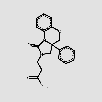 NC(=O)CCN1CC2(c3ccccc3)COc3ccccc3N2C1=O